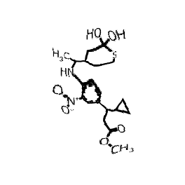 COC(=O)CC(c1ccc(NC(C)C2CCSC(O)(O)C2)c([N+](=O)[O-])c1)C1CC1